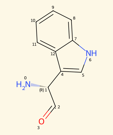 N[C@@H]([C]=O)c1c[nH]c2ccccc12